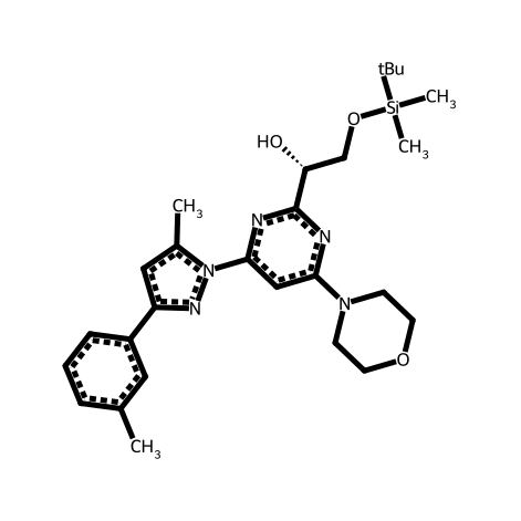 Cc1cccc(-c2cc(C)n(-c3cc(N4CCOCC4)nc([C@H](O)CO[Si](C)(C)C(C)(C)C)n3)n2)c1